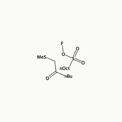 CCCCC(=O)CSC.CCCCCCCCS(=O)(=O)OF